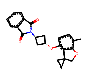 Cc1ccc(O[C@H]2C[C@H](N3C(=O)c4ccccc4C3=O)C2)c2c1OCC21CC1